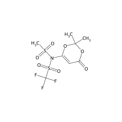 CC1(C)OC(=O)C=C(N(S(C)(=O)=O)S(=O)(=O)C(F)(F)F)O1